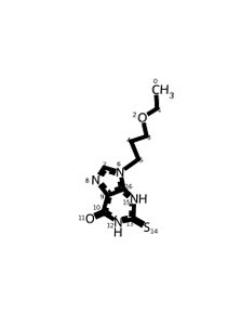 CCOCCCn1cnc2c(=O)[nH]c(=S)[nH]c21